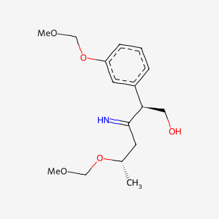 COCOc1cccc([C@@H](CO)C(=N)C[C@H](C)OCOC)c1